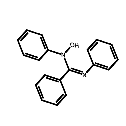 ON(C(=Nc1ccccc1)c1ccccc1)c1ccccc1